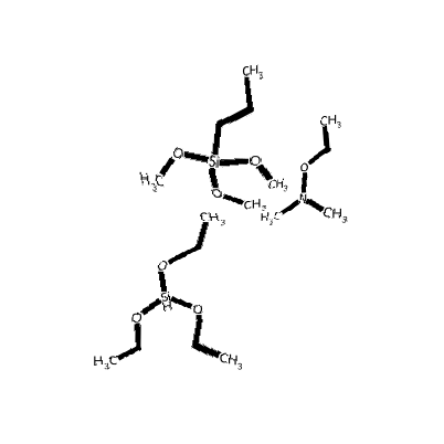 CCC[Si](OC)(OC)OC.CCON(C)C.CCO[SiH](OCC)OCC